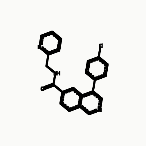 O=C(NCc1ccccn1)c1ccc2cncc(-c3ccc(Cl)cc3)c2c1